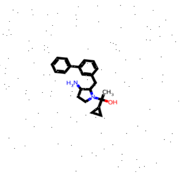 CC(O)(C1CC1)N1CCC(N)C1Cc1cccc(-c2ccccc2)c1